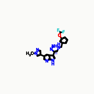 Cn1cc(-c2cnc3[nH]cc(/C(=C/NCc4cccc(OC(F)F)c4)N=N)c3c2)cn1